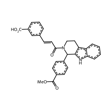 COC(=O)c1ccc(C2c3[nH]c4ccccc4c3CCN2C(=O)C=Cc2cccc(C(=O)O)c2)cc1